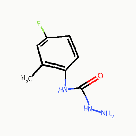 Cc1cc(F)ccc1NC(=O)NN